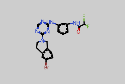 O=C(Nc1cccc(Nc2ncnc(N3CCc4cc(Br)ccc4C3)n2)c1)C(F)F